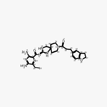 Nc1nc(N)c(C(=O)/N=C2\NCC3(CCN(C(=O)CCc4ccc5c(c4)CCO5)CC3)N2)nc1CI